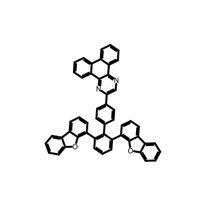 c1cc(-c2cccc3c2oc2ccccc23)c(-c2ccc(-c3cnc4c5ccccc5c5ccccc5c4n3)cc2)c(-c2cccc3c2oc2ccccc23)c1